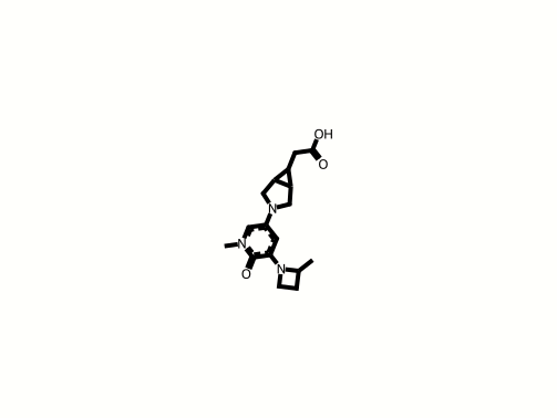 CC1CCN1c1cc(N2CC3C(CC(=O)O)C3C2)cn(C)c1=O